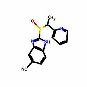 CC(c1ccccn1)[S+]([O-])c1nc2cc(C#N)ccc2[nH]1